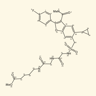 CNC(=O)c1c(-c2ccc(F)cc2)oc2cc(CS(=O)(=O)NCC(=O)NCC(=O)NCCCCC(=O)OC)c(C3CC3)cc12